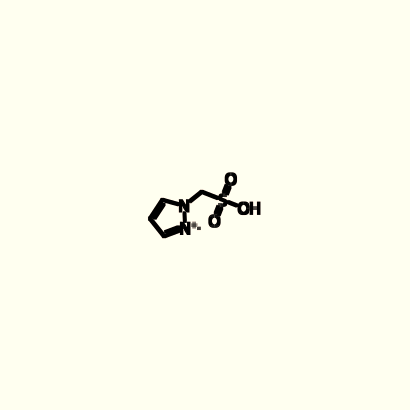 O=S(=O)(O)CN1C=CC=[N+]1